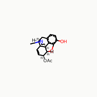 CC(=O)O[C@H]1C=CC2[C@H]3Cc4ccc(O)c5c4[C@@]2(CCN3C)[C@H]1O5